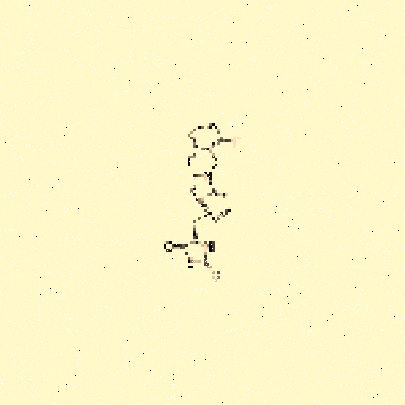 O=C1NC(=Cc2cccc3c2ccn3Cc2c(F)cccc2F)C(=O)S1